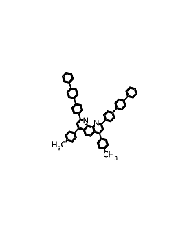 Cc1ccc(-c2cc(-c3ccc(-c4ccc(-c5ccccc5)cc4)cc3)nc3c2ccc2c(-c4ccc(C)cc4)cc(-c4ccc(-c5ccc(-c6ccccc6)cc5)cc4)nc23)cc1